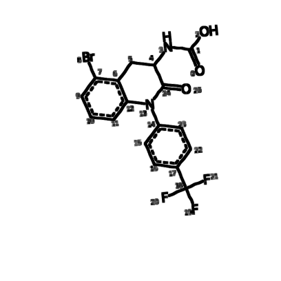 O=C(O)NC1Cc2c(Br)cccc2N(c2ccc(C(F)(F)F)cc2)C1=O